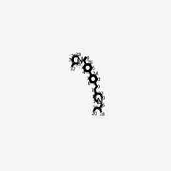 C=C(c1ccc(-c2ccc(CCC3CCN(CC(C)CC)CC3)cc2)cc1)N1CCCC(C)C1